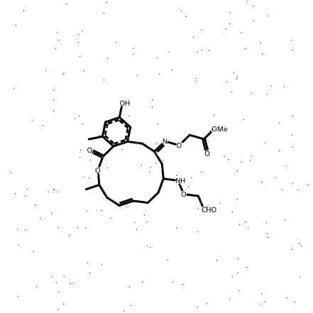 COC(=O)CO/N=C1/Cc2cc(O)cc(C)c2C(=O)OC(C)C/C=C/CCC(NOCC=O)C1